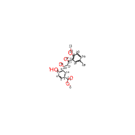 COC(=O)c1ccc(O)c(C(=O)CC(=O)c2cc(C)ccc2OC)c1